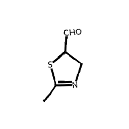 CC1=NCC(C=O)S1